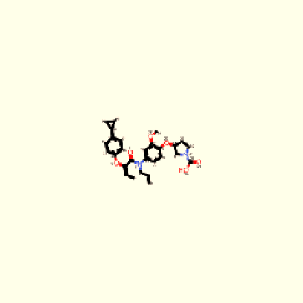 C=CCN(C(=O)C(=CC)Oc1ccc(C2CC2)cc1)c1ccc(OC2CCN(C(=O)O)C2)c(OC)c1